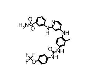 Cc1cc(NC(=O)Nc2ccc(OC(F)(F)F)cc2)ccc1Nc1ccnc(Nc2cccc(S(N)(=O)=O)c2)c1